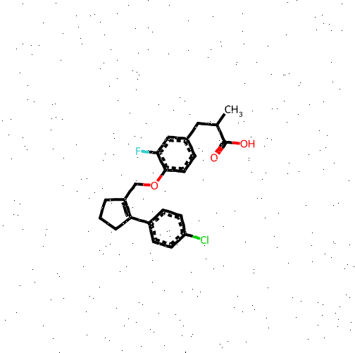 CC(Cc1ccc(OCC2=C(c3ccc(Cl)cc3)CCC2)c(F)c1)C(=O)O